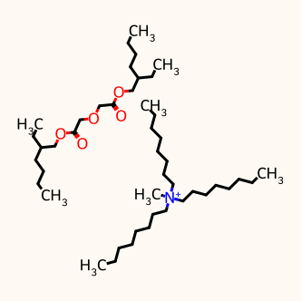 CCCCC(CC)COC(=O)COCC(=O)OCC(CC)CCCC.CCCCCCCC[N+](C)(CCCCCCCC)CCCCCCCC